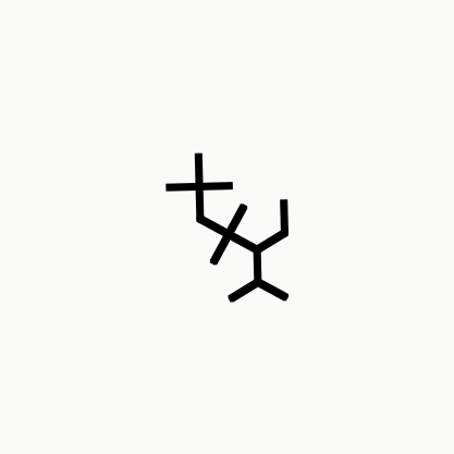 CCC([C](C)C)C(C)(C)CC(C)(C)C